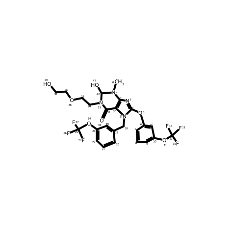 CN1c2nc(Oc3cccc(OC(F)(F)F)c3)n(Cc3cccc(OC(F)(F)F)c3)c2C(=O)N(CCOCCO)C1O